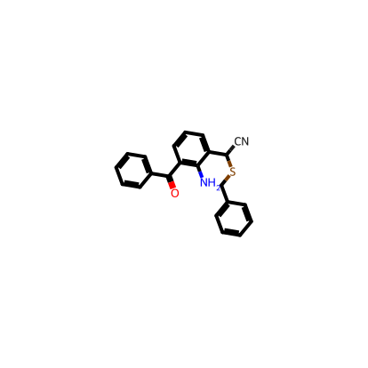 N#CC(SCc1ccccc1)c1cccc(C(=O)c2ccccc2)c1N